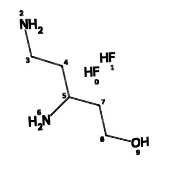 F.F.NCCC(N)CCO